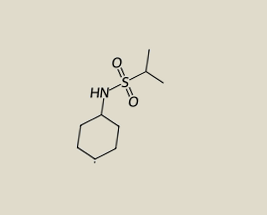 CC(C)S(=O)(=O)NC1CC[CH]CC1